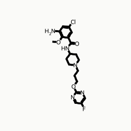 COc1c(N)cc(Cl)cc1C(=O)NC1CCN(CCCOc2ncc(F)cn2)CC1